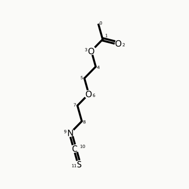 CC(=O)OCCOCCN=C=S